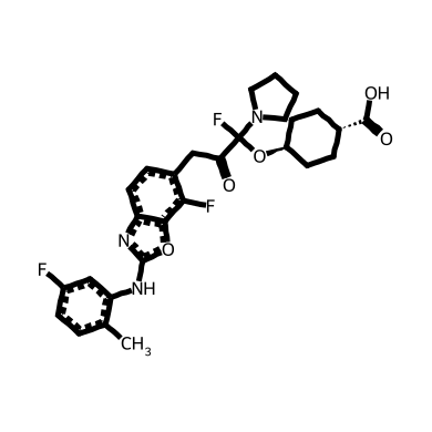 Cc1ccc(F)cc1Nc1nc2ccc(CC(=O)C(F)(O[C@H]3CC[C@H](C(=O)O)CC3)N3CCCC3)c(F)c2o1